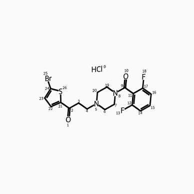 Cl.O=C(CCN1CCN(C(=O)c2c(F)cccc2F)CC1)c1ccc(Br)s1